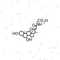 C[C@H](CCC(=O)NCC(=O)O)[C@H]1CCC2C3C(C[C@H](O)[C@@]21C)[C@@]1(C)CC[C@@H](O)CC1C[C@@H]3O